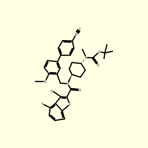 [C-]#[N+]c1ccc(-c2ccc(OC)c(CN(C(=O)c3sc4cccc(F)c4c3Cl)[C@H]3CC[C@H](N(C)C(=O)OC(C)(C)C)CC3)c2)cc1